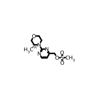 C[C@@H]1COCCN1c1nccc(COS(C)(=O)=O)n1